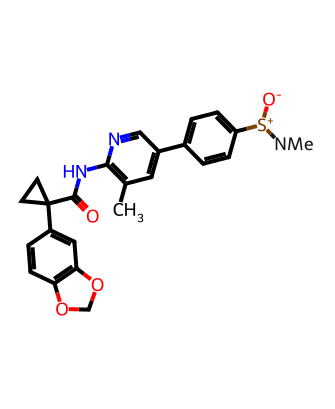 CN[S+]([O-])c1ccc(-c2cnc(NC(=O)C3(c4ccc5c(c4)OCO5)CC3)c(C)c2)cc1